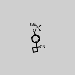 CC(C)(C)[Si](C)(C)Oc1ccc(C2(C#N)CCC2)cc1